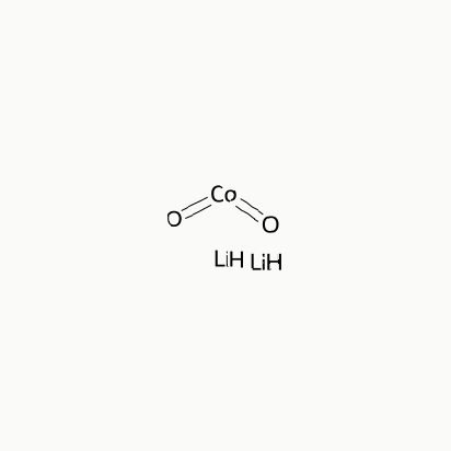 [LiH].[LiH].[O]=[Co]=[O]